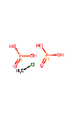 CCl.O=[PH](O)O.O=[PH](O)O